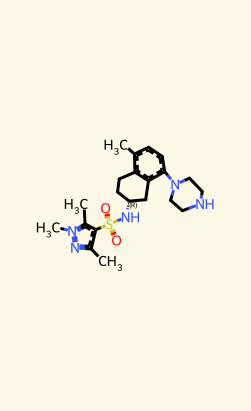 Cc1ccc(N2CCNCC2)c2c1CC[C@@H](NS(=O)(=O)c1c(C)nn(C)c1C)C2